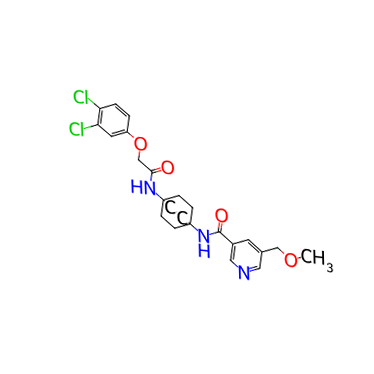 COCc1cncc(C(=O)NC23CCC(NC(=O)COc4ccc(Cl)c(Cl)c4)(CC2)CC3)c1